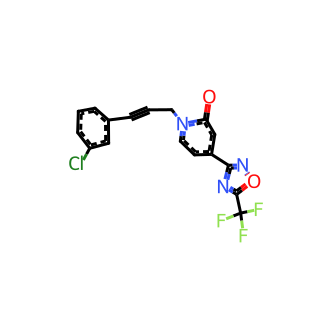 O=c1cc(-c2noc(C(F)(F)F)n2)ccn1CC#Cc1cccc(Cl)c1